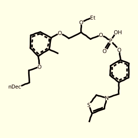 CCCCCCCCCCCCOc1cccc(OCC(COP(=O)(O)Oc2ccc(CN3C=C(C)SC3)cc2)OCC)c1C